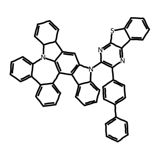 C1=CC2c3cc4c(c5c3N(c3ccccc3-c3ccccc3-5)C2C=C1)c1ccccc1n4-c1nc2sc3ccccc3c2nc1-c1ccc(-c2ccccc2)cc1